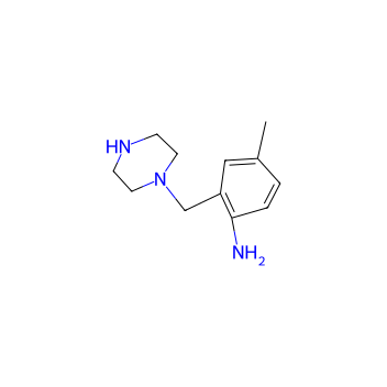 Cc1ccc(N)c(CN2CCNCC2)c1